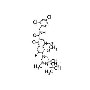 COc1c(N2C[C@@H](C)N(CC(C)(C)O)[C@@H](C)C2)c(F)cc2c(=O)c(C(=O)NCc3ccc(Cl)cc3Cl)cn(C3CC3)c12